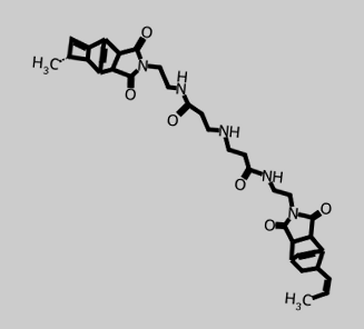 C/C=C\C1CC2C=CC1C1C(=O)N(CCNC(=O)CCNCCC(=O)NCCN3C(=O)C4C5C=CC(C4C3=O)C3C5=C[C@H]3C)C(=O)C21